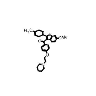 COc1ccc2c(C(=O)c3ccc(OCCN4CCCCC4)cc3)c(C3CCC(C)CC3)sc2c1